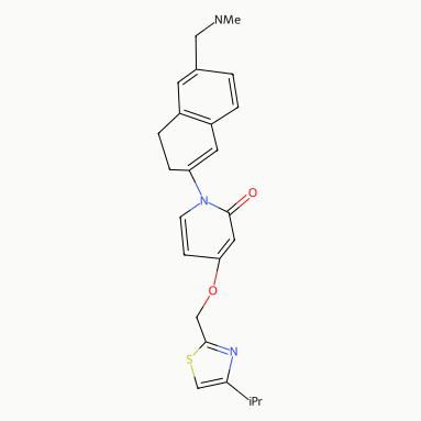 CNCc1ccc2c(c1)CCC(n1ccc(OCc3nc(C(C)C)cs3)cc1=O)=C2